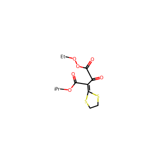 CCOOC(=O)C(=O)C(C(=O)OC(C)C)=C1SCCS1